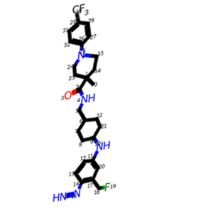 CC1(C(=O)NCC2CCC(Nc3ccc(N=N)c(CF)c3)CC2)CCN(c2ccc(C(F)(F)F)cc2)CC1